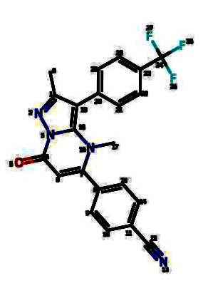 Cc1nn2c(=O)cc(-c3ccc(C#N)cc3)n(C)c2c1-c1ccc(C(F)(F)F)cc1